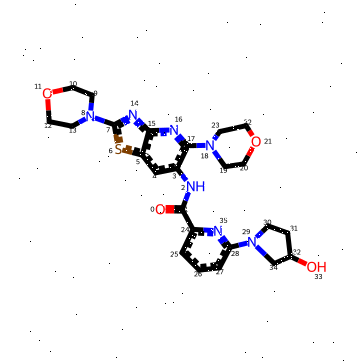 O=C(Nc1cc2sc(N3CCOCC3)nc2nc1N1CCOCC1)c1cccc(N2CCC(O)C2)n1